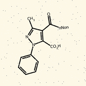 CCCCCCCCCC(=O)c1c(C)nn(-c2ccccc2)c1C(=O)O